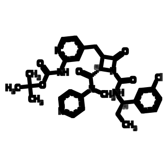 CC[C@@H](NC(=O)N1C(=O)C(Cc2ccnc(NC(=O)OC(C)(C)C)c2)[C@H]1C(=O)N(C)c1ccncc1)c1cccc(Cl)c1